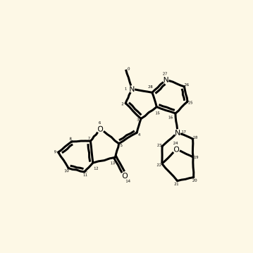 Cn1cc(C=C2Oc3ccc[c]c3C2=O)c2c(N3CC4CCC(C3)O4)ccnc21